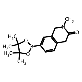 CN1Cc2cc(B3OC(C)(C)C(C)(C)O3)ccc2CC1=O